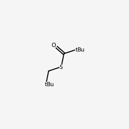 CC(C)(C)CSC(=O)C(C)(C)C